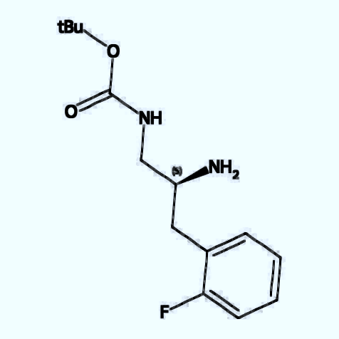 CC(C)(C)OC(=O)NC[C@@H](N)Cc1ccccc1F